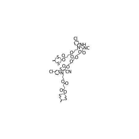 [C-]#[N+]C(C(=O)OCCOCCOCCOC(=O)/C(C#N)=C1\Sc2cc(Cl)ccc2N1CCCOC(=O)CCC(=O)OC1CSCC(=C)CSC1)C1Nc2cc(Cl)ccc2N1CCCOC(=O)CCC(=O)OC1CSCC(=C)CSC1